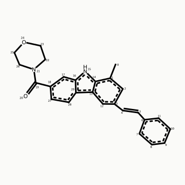 Cc1cc(/C=C/c2ccccc2)cc2c1[nH]c1cc(C(=O)N3CCOCC3)ccc12